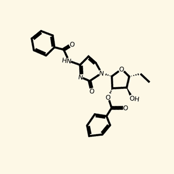 CC[C@H]1O[C@@H](n2ccc(NC(=O)c3ccccc3)nc2=O)[C@@H](OC(=O)c2ccccc2)[C@@H]1O